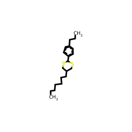 CCCCCCCC1CSC(c2ccc(CCC)cc2)SC1